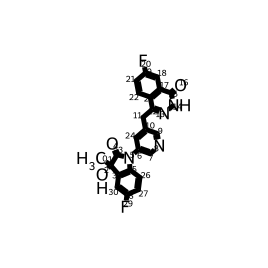 CC1(O)C(=O)N(c2cncc(Cc3n[nH]c(=O)c4cc(F)ccc34)c2)c2ccc(F)cc21